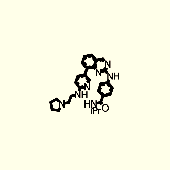 CC(C)NC(=O)c1ccc(Nc2ncc3cccc(-c4ccc(NCCN5CCCC5)nc4)c3n2)cc1